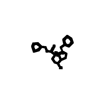 CCC1CCC2(C(=O)OCc3ccccc3)[C@]3(Cc4ccccc4)CCC1[C@@]23CC